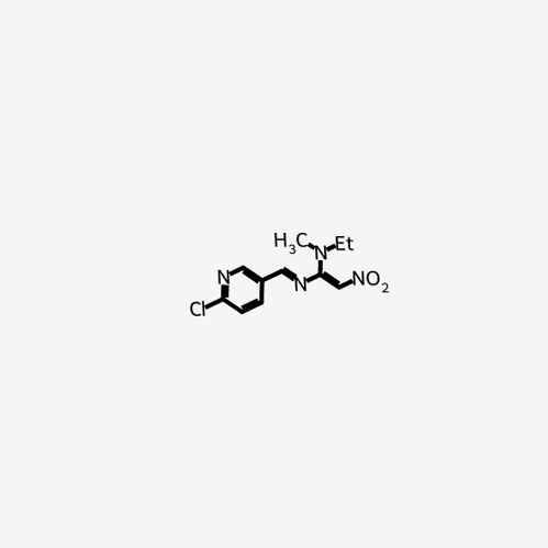 CCN(C)C(=C[N+](=O)[O-])N=Cc1ccc(Cl)nc1